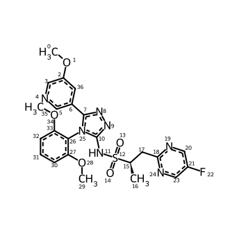 COc1cncc(-c2nnc(NS(=O)(=O)[C@H](C)Cc3ncc(F)cn3)n2-c2c(OC)cccc2OC)c1